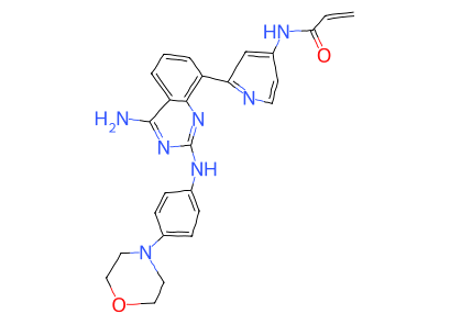 C=CC(=O)Nc1ccnc(-c2cccc3c(N)nc(Nc4ccc(N5CCOCC5)cc4)nc23)c1